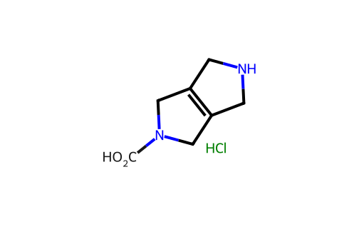 Cl.O=C(O)N1CC2=C(CNC2)C1